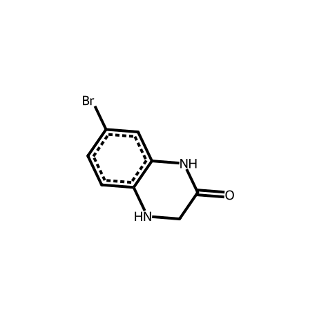 O=C1CNc2ccc(Br)cc2N1